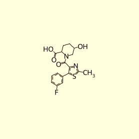 Cc1nc(C(=O)N2CC(O)CCC2C(=O)O)c(-c2cccc(F)c2)s1